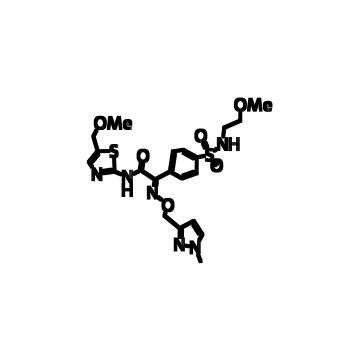 COCCNS(=O)(=O)c1ccc(/C(=N\OCc2ccn(C)n2)C(=O)Nc2ncc(COC)s2)cc1